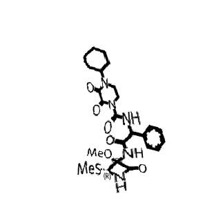 CO[C@@]1(NC(=O)C(NC(=O)N2CCN(C3CCCCC3)C(=O)C2=O)c2ccccc2)C(=O)N[C@@H]1SC